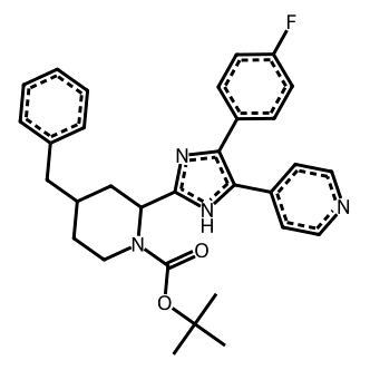 CC(C)(C)OC(=O)N1CCC(Cc2ccccc2)CC1c1nc(-c2ccc(F)cc2)c(-c2ccncc2)[nH]1